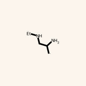 [CH2]C(N)CNCC